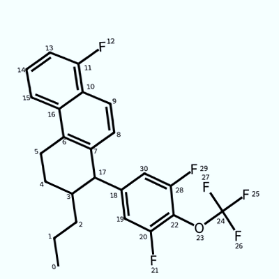 CCCC1CCc2c(ccc3c(F)cccc23)C1c1cc(F)c(OC(F)(F)F)c(F)c1